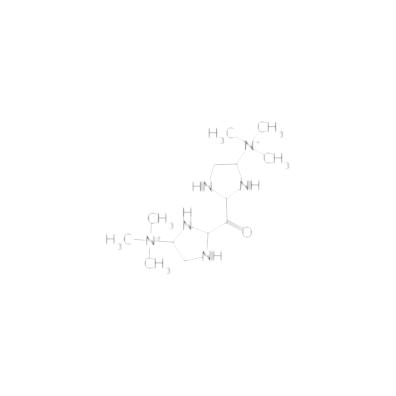 C[N+](C)(C)C1CNC(C(=O)C2NCC([N+](C)(C)C)N2)N1